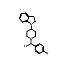 CCC(c1ccc(F)cc1)N1CCC(N2CCc3ccccc32)CC1